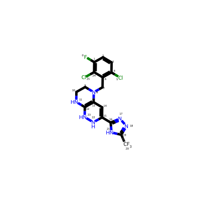 Fc1ccc(Cl)c(CN2CCNC3=C2C=C(c2nnc(C(F)(F)F)[nH]2)NN3)c1Cl